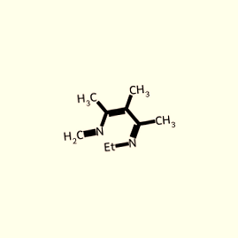 C=N/C(C)=C(C)\C(C)=N/CC